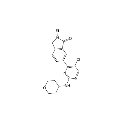 CCN1Cc2ccc(-c3nc(NC4CCOCC4)ncc3Cl)cc2C1=O